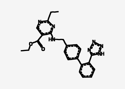 CCOC(=O)c1cnc(CC)nc1NCc1ccc(-c2ccccc2-c2nnn[nH]2)cc1